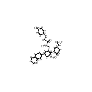 CCN(Cc1cc(-c2ccc3cccnc3c2)ccc1-c1cc(CC(=O)O)ccc1OC)C(=O)COc1ccc(Cl)cc1